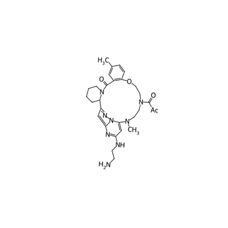 CC(=O)C(=O)N1CCOc2ccc(C)cc2C(=O)N2CCCCC2c2cc3nc(NCCN)cc(n3n2)N(C)CC1